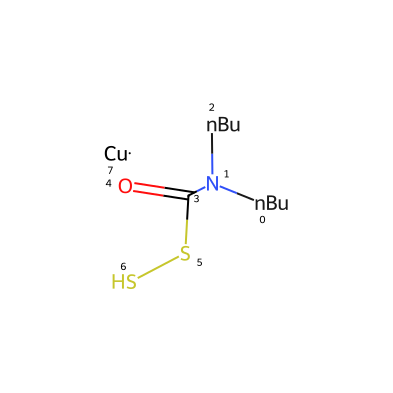 CCCCN(CCCC)C(=O)SS.[Cu]